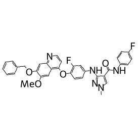 COc1cc2c(Oc3ccc(Nc4nn(C)cc4C(=O)Nc4ccc(F)cc4)cc3F)ccnc2cc1OCc1ccccc1